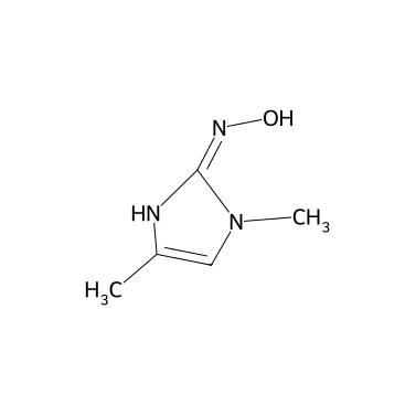 Cc1cn(C)c(=NO)[nH]1